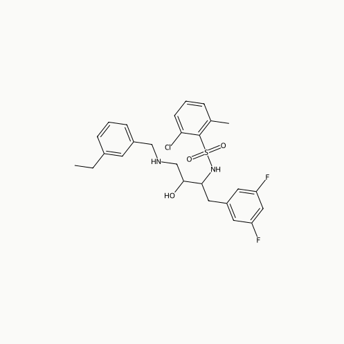 CCc1cccc(CNCC(O)C(Cc2cc(F)cc(F)c2)NS(=O)(=O)c2c(C)cccc2Cl)c1